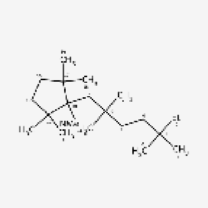 CCC(C)(C)CCC(C)(C)CC1(NC)C(C)(C)CCC1(C)C